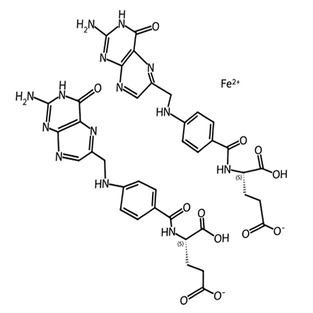 Nc1nc2ncc(CNc3ccc(C(=O)N[C@@H](CCC(=O)[O-])C(=O)O)cc3)nc2c(=O)[nH]1.Nc1nc2ncc(CNc3ccc(C(=O)N[C@@H](CCC(=O)[O-])C(=O)O)cc3)nc2c(=O)[nH]1.[Fe+2]